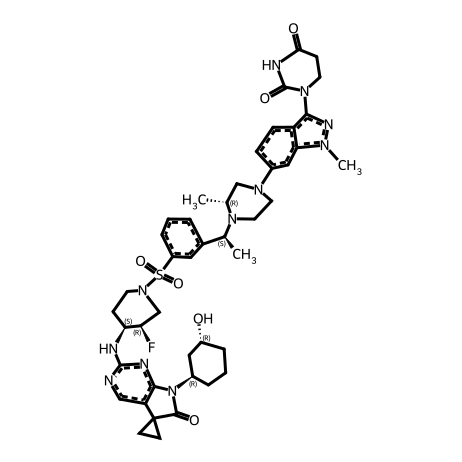 C[C@@H]1CN(c2ccc3c(N4CCC(=O)NC4=O)nn(C)c3c2)CCN1[C@@H](C)c1cccc(S(=O)(=O)N2CC[C@H](Nc3ncc4c(n3)N([C@@H]3CCC[C@@H](O)C3)C(=O)C43CC3)[C@H](F)C2)c1